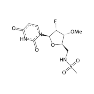 CO[C@H]1[C@@H](F)[C@H](n2ccc(=O)[nH]c2=O)O[C@@H]1CNS(C)(=O)=O